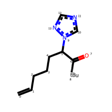 C=CCCCC(C(=O)C(C)(C)C)n1cncn1